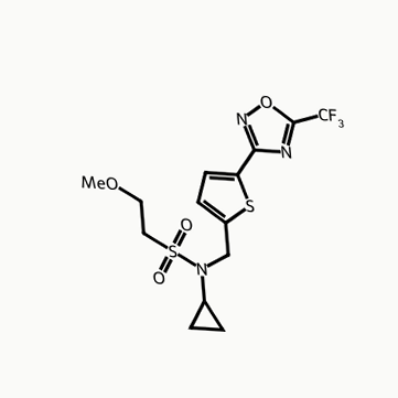 COCCS(=O)(=O)N(Cc1ccc(-c2noc(C(F)(F)F)n2)s1)C1CC1